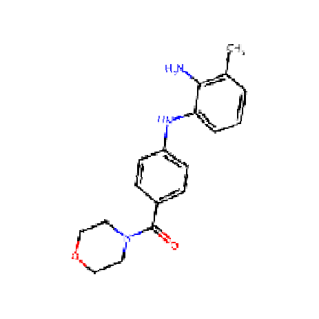 Cc1cccc(Nc2ccc(C(=O)N3CCOCC3)cc2)c1N